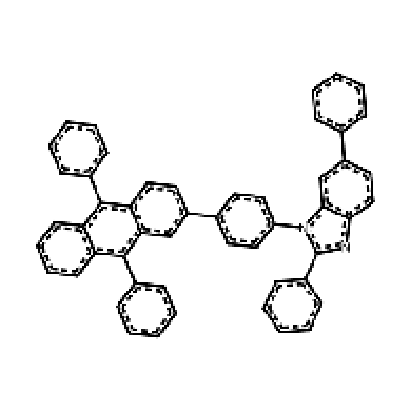 c1ccc(-c2ccc3nc(-c4ccccc4)n(-c4ccc(-c5ccc6c(-c7ccccc7)c7ccccc7c(-c7ccccc7)c6c5)cc4)c3c2)cc1